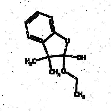 CCOC1(O)Oc2ccccc2C1(C)C